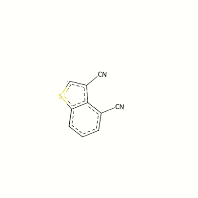 N#Cc1[c]sc2cccc(C#N)c12